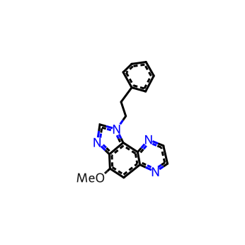 COc1cc2nccnc2c2c1ncn2CCc1ccccc1